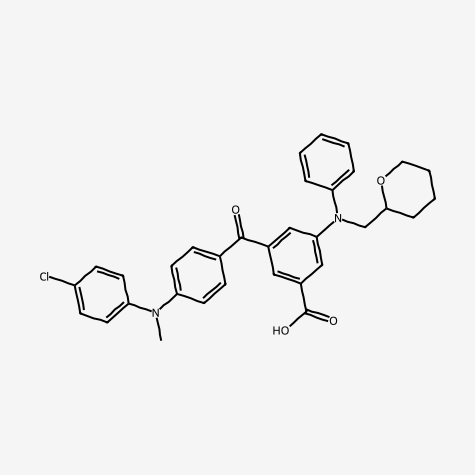 CN(c1ccc(Cl)cc1)c1ccc(C(=O)c2cc(C(=O)O)cc(N(CC3CCCCO3)c3ccccc3)c2)cc1